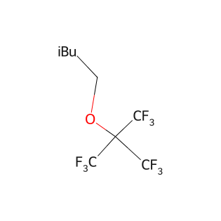 CCC(C)COC(C(F)(F)F)(C(F)(F)F)C(F)(F)F